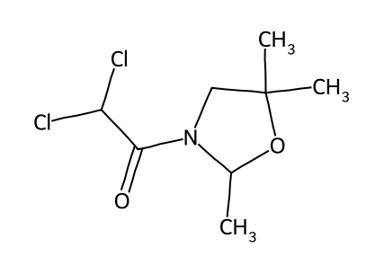 CC1OC(C)(C)CN1C(=O)C(Cl)Cl